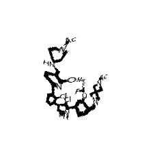 COc1nc(-c2cccc(-c3ccnc(-c4ccc(CN5CC6(C5)CN(C(C)=O)C6)c(OC(F)F)c4)c3Cl)c2Cl)ccc1CNC1CCN(C(C)=O)CC1